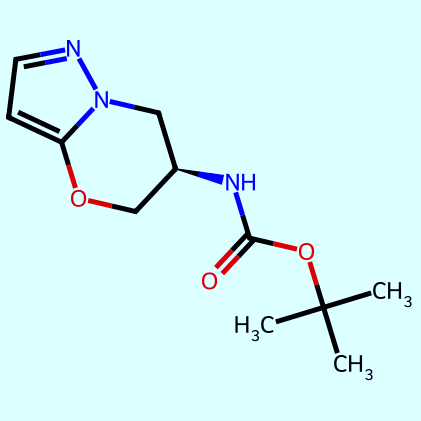 CC(C)(C)OC(=O)N[C@H]1COc2ccnn2C1